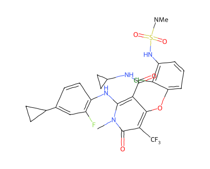 CNS(=O)(=O)Nc1cccc(Oc2c(C(=O)NC3CC3)c(Nc3ccc(C4CC4)cc3F)n(C)c(=O)c2C(F)(F)F)c1Cl